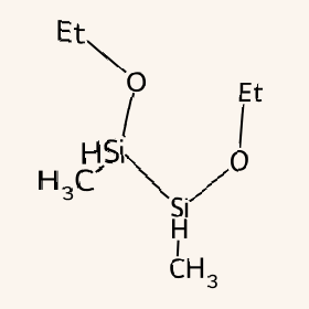 CCO[SiH](C)[SiH](C)OCC